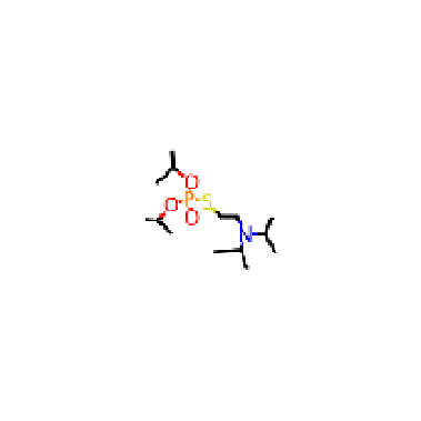 CC(C)OP(=O)(OC(C)C)SCCN(C(C)C)C(C)C